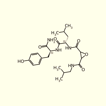 CC(C)CNC(=O)C1OC1C(=O)N[C@@H](CC(C)C)C(=O)N[C@@H](Cc1ccc(O)cc1)C(N)=O